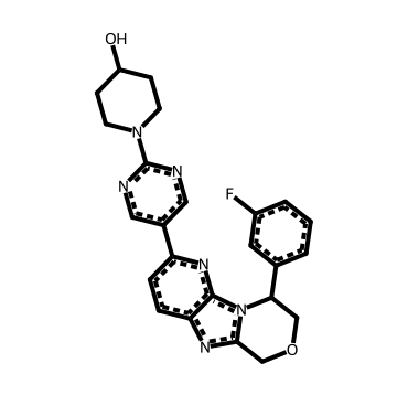 OC1CCN(c2ncc(-c3ccc4nc5n(c4n3)C(c3cccc(F)c3)COC5)cn2)CC1